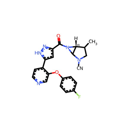 CC1CN(C#N)C2[C@@H]1N2C(=O)c1cc(-c2ccncc2Oc2ccc(F)cc2)[nH]n1